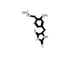 CC(=O)Oc1cc(CC2NC(=O)OC2=O)ccc1COC=O